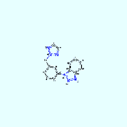 c1cc(Cn2nccn2)cc(-n2nnc3ccccc32)c1